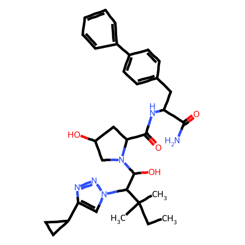 CCC(C)(C)C(C(O)N1CC(O)CC1C(=O)NC(Cc1ccc(-c2ccccc2)cc1)C(N)=O)n1cc(C2CC2)nn1